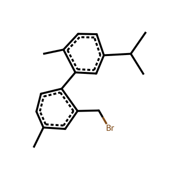 Cc1ccc(-c2cc(C(C)C)ccc2C)c(CBr)c1